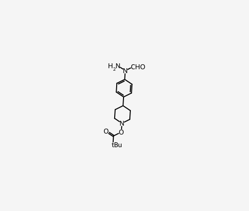 CC(C)(C)C(=O)ON1CCC(c2ccc(N(N)C=O)cc2)CC1